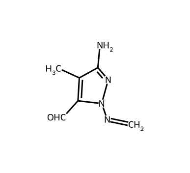 C=Nn1nc(N)c(C)c1C=O